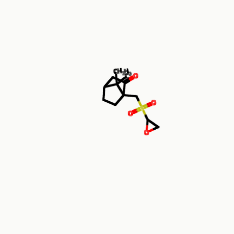 CC1(C)C2CCC1(CS(=O)(=O)C1CO1)C(=O)C2